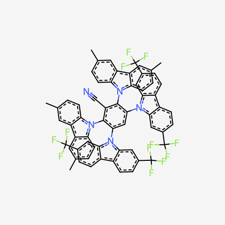 Cc1ccc2c(c1)c1cc(C)ccc1n2-c1c(-n2c3cc(C(F)(F)F)ccc3c3ccc(C(F)(F)F)cc32)cc(-n2c3cc(C(F)(F)F)ccc3c3ccc(C(F)(F)F)cc32)c(-n2c3ccc(C)cc3c3cc(C)ccc32)c1C#N